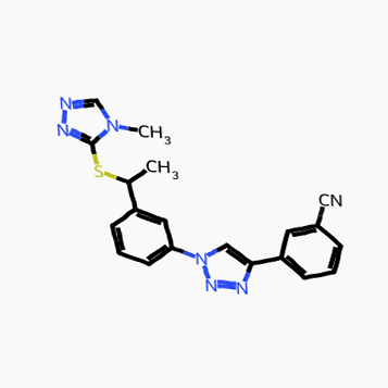 CC(Sc1nncn1C)c1cccc(-n2cc(-c3cccc(C#N)c3)nn2)c1